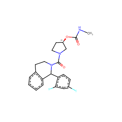 CNC(=O)O[C@@H]1CCN(C(=O)N2CCc3ccccc3C2c2ccc(F)cc2F)C1